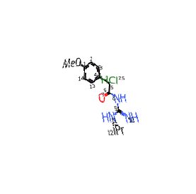 COc1ccc(CC(=O)NC(=N)NC(C)C)cc1.Cl